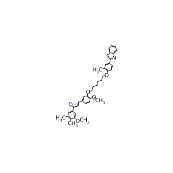 COc1ccc(/C=C/C(=O)c2cc(C)c(C)c(OC)c2)cc1OCCCCCCOc1ccc(-c2nc3ccccc3s2)cc1C